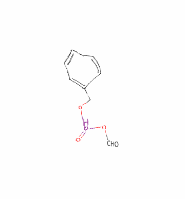 O=CO[PH](=O)OCc1ccccc1